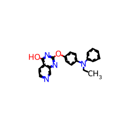 CCN(c1ccccc1)c1ccc(Oc2nc(O)c3ccncc3n2)cc1